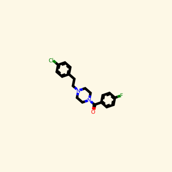 O=C(c1ccc(F)cc1)N1CCN(CCc2ccc(Cl)cc2)CC1